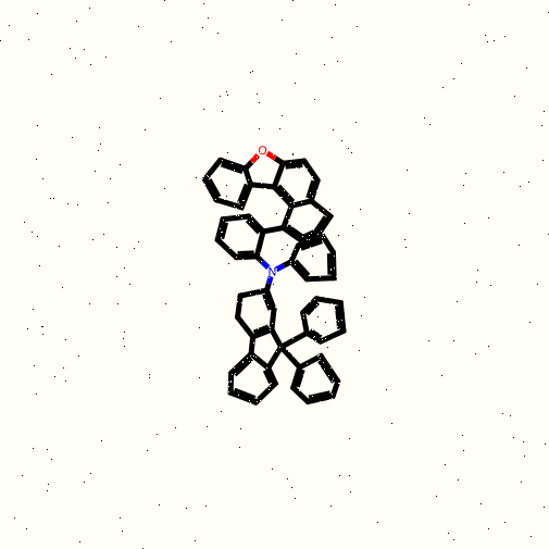 C1=C=C(c2ccccc2N(C2=CC3=C(CC2)c2ccccc2C3(c2ccccc2)c2ccccc2)c2ccccc2)c2c(ccc3oc4ccccc4c23)C=1